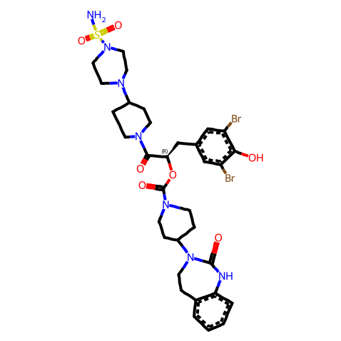 NS(=O)(=O)N1CCN(C2CCN(C(=O)[C@@H](Cc3cc(Br)c(O)c(Br)c3)OC(=O)N3CCC(N4CCc5ccccc5NC4=O)CC3)CC2)CC1